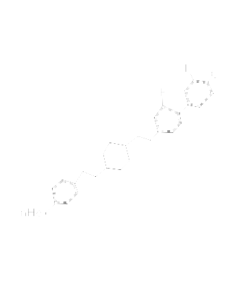 CCCCCCc1ccc(CCC2CCC(CCc3ccc(-c4ccc(Cl)c(F)c4)c(F)c3)CC2)cc1